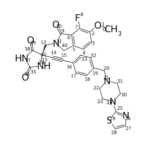 COc1ccc2c(c1F)C(=O)N(C[C@@]1(C#Cc3ccc(CN4CCN(c5nccs5)CC4)cc3)NC(=O)NC1=O)C2